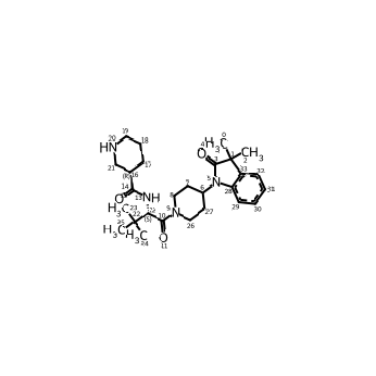 CC1(C)C(=O)N(C2CCN(C(=O)[C@@H](NC(=O)[C@@H]3CCCNC3)C(C)(C)C)CC2)c2ccccc21